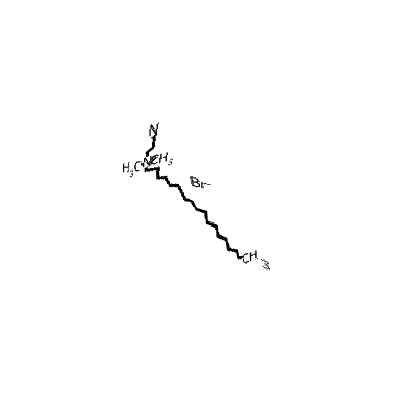 CCCCCCCCCCCCCCCCCC[N+](C)(C)CCC#N.[Br-]